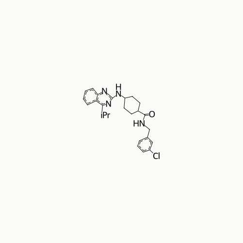 CC(C)c1nc(NC2CCC(C(=O)NCc3cccc(Cl)c3)CC2)nc2ccccc12